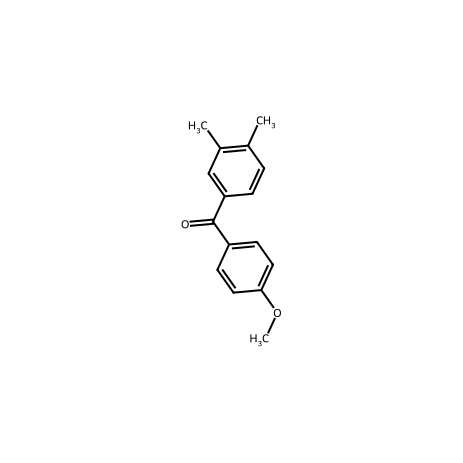 COc1ccc(C(=O)c2ccc(C)c(C)c2)cc1